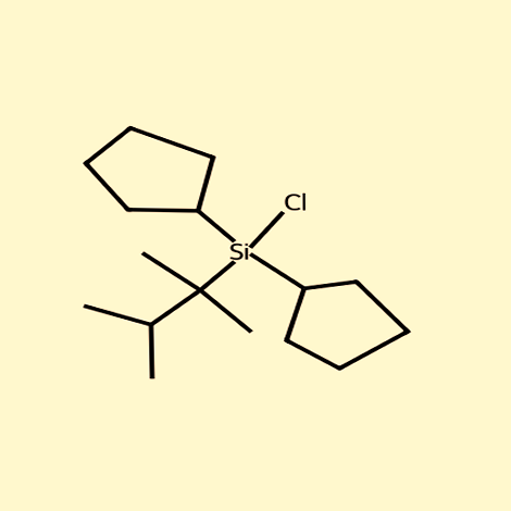 CC(C)C(C)(C)[Si](Cl)(C1CCCC1)C1CCCC1